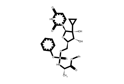 CC(C)OC(=O)[C@H](C)NP(=S)(OC[C@H]1O[C@@H](n2ccc(=O)[nH]c2=O)[C@@](O)(C2CC2)[C@@H]1O)Oc1ccccc1